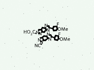 COc1ccc(-c2cnc3cc4cn(CC(=O)O)nc4cc3n2)cc1F.COc1ccc(-c2cnc3cc4cnn(CC#N)c4cc3n2)cc1F